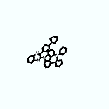 c1ccc(-c2ccc(-c3nc4ccccc4nc3-n3c4cccc5c6ccccc6n(-c6ccccc6)c6cccc3c6c54)cc2)cc1